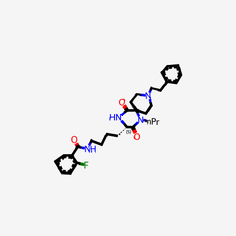 CCCN1C(=O)[C@H](CCCCNC(=O)c2ccccc2F)NC(=O)C12CCN(CCc1ccccc1)CC2